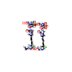 CC(CCN1Cc2cc(C#CC#CC3(F)CCN(CCO)C3)cn2C1=O)(C(=O)NO)S(C)(=O)=O.C[C@@](CCN1Cc2cc(C#CC#CC3(F)CCN(C4CC4)C3)cn2C1=O)(C(=O)NO)S(C)(=O)=O